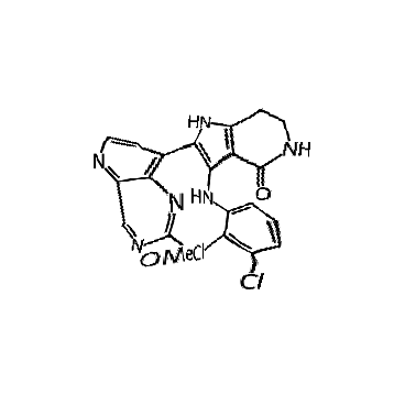 COc1ncc2nccc(-c3[nH]c4c(c3Nc3cccc(Cl)c3Cl)C(=O)NCC4)c2n1